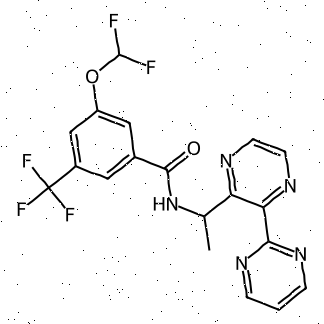 CC(NC(=O)c1cc(OC(F)F)cc(C(F)(F)F)c1)c1nccnc1-c1ncccn1